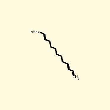 C=CC=CCCCCCCC=CCCCCCC